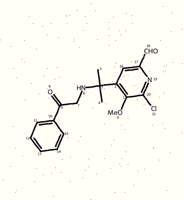 COc1c(C(C)(C)NCC(=O)c2ccccc2)cc(C=O)nc1Cl